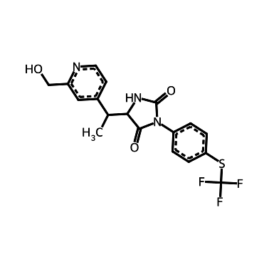 CC(c1ccnc(CO)c1)C1NC(=O)N(c2ccc(SC(F)(F)F)cc2)C1=O